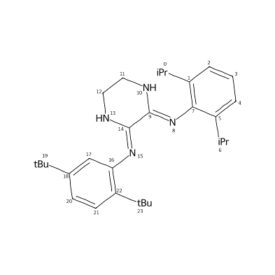 CC(C)c1cccc(C(C)C)c1N=C1NCCNC1=Nc1cc(C(C)(C)C)ccc1C(C)(C)C